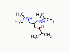 CC(C)NCC(CNC(C)C)CC(=O)C(C)C